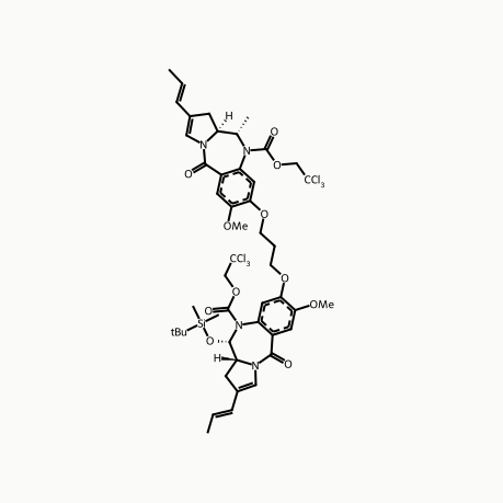 C/C=C/C1=CN2C(=O)c3cc(OC)c(OCCCOc4cc5c(cc4OC)C(=O)N4C=C(/C=C/C)C[C@H]4[C@H](C)N5C(=O)OCC(Cl)(Cl)Cl)cc3N(C(=O)OCC(Cl)(Cl)Cl)[C@@H](O[Si](C)(C)C(C)(C)C)[C@H]2C1